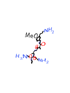 C=C/C=C(OCCN)\C(=C/C(C)/C=C/C(=O)C(C)C(=O)/C=C/c1ccc(OC)c(CCCN)c1)OCCN